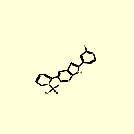 CC(C)(C#N)N1CC=CC=C1c1cnc2[nH]c(-c3ccnc(F)c3)cc2c1